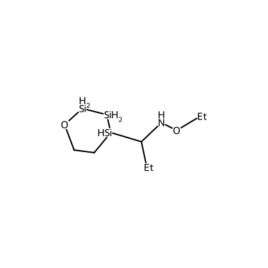 CCONC(CC)[SiH]1CCO[SiH2][SiH2]1